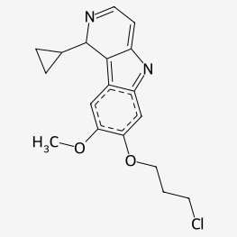 COc1cc2c(cc1OCCCCl)=NC1=CC=NC(C3CC3)C=21